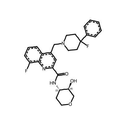 O=C(N[C@H]1CCOC[C@@H]1O)c1cc(CN2CCC(F)(c3ccccc3)CC2)c2cccc(F)c2n1